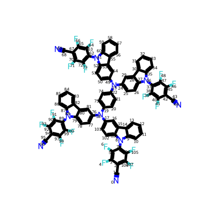 N#Cc1c(F)c(F)c(-n2c3ccccc3c3cc(N(c4ccc(N(c5ccc6c(c5)c5ccccc5n6-c5c(F)c(F)c(C#N)c(F)c5F)c5ccc6c(c5)c5ccccc5n6-c5c(F)c(F)c(C#N)c(F)c5F)cc4)c4ccc5c(c4)c4ccccc4n5-c4c(F)c(F)c(C#N)c(F)c4F)ccc32)c(F)c1F